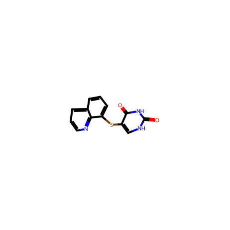 O=c1[nH]cc(Sc2cccc3cccnc23)c(=O)[nH]1